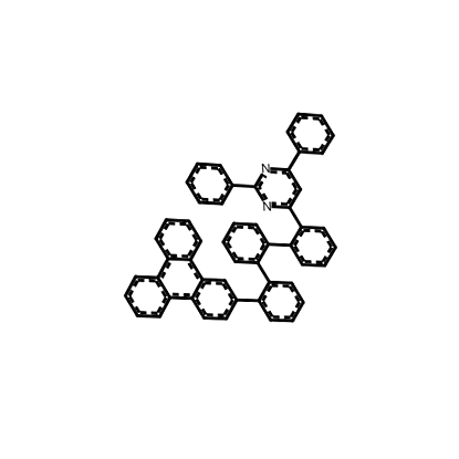 c1ccc(-c2cc(-c3ccccc3-c3ccccc3-c3ccccc3-c3ccc4c5ccccc5c5ccccc5c4c3)nc(-c3ccccc3)n2)cc1